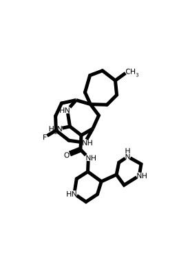 CC1CCCC2(CC1)CC1NCC(F)CCC2NC(N)C1C(=O)NC1CNCCC1C1CNCNC1